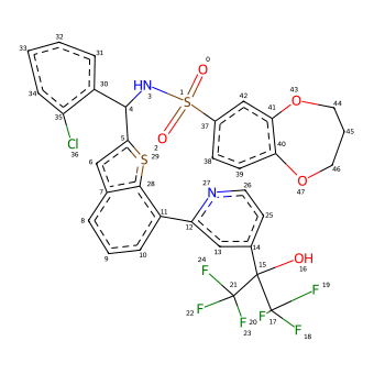 O=S(=O)(NC(c1cc2cccc(-c3cc(C(O)(C(F)(F)F)C(F)(F)F)ccn3)c2s1)c1ccccc1Cl)c1ccc2c(c1)OCCCO2